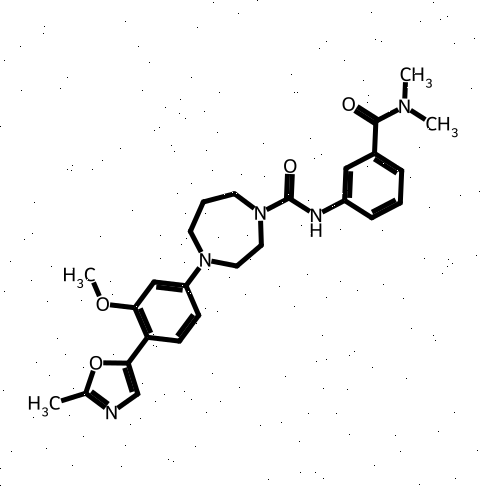 COc1cc(N2CCCN(C(=O)Nc3cccc(C(=O)N(C)C)c3)CC2)ccc1-c1cnc(C)o1